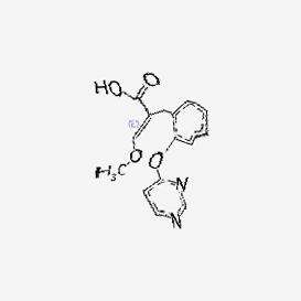 CO/C=C(/C(=O)O)c1ccccc1Oc1ccncn1